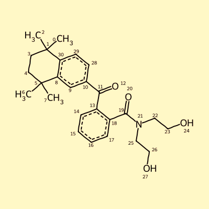 CC1(C)CCC(C)(C)c2cc(C(=O)c3ccccc3C(=O)N(CCO)CCO)ccc21